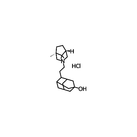 CC1(C)[C@@H]2CC[C@]1(C)CN(CCC1C3CC4CC1CC(O)(C4)C3)C2.Cl